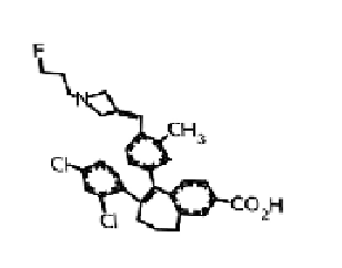 Cc1cc(C2=C(c3ccc(Cl)cc3Cl)CCCc3cc(C(=O)O)ccc32)ccc1C=C1CN(CCCF)C1